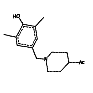 CC(=O)C1CCN(Cc2cc(C)c(O)c(C)c2)CC1